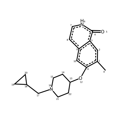 Cc1cc2c(=O)[nH]ccc2cc1OC1CCN(CC2CC2)CC1